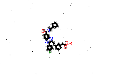 O=C(O)Cc1cccc(CCc2nc3cc(C(=O)N4CC(c5ccccc5)C4)ccc3nc2-c2ccc(F)cc2)c1